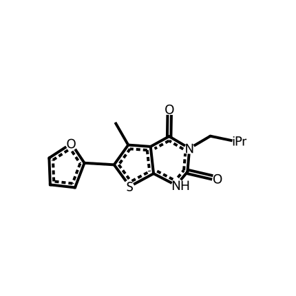 Cc1c(-c2ccco2)sc2[nH]c(=O)n(CC(C)C)c(=O)c12